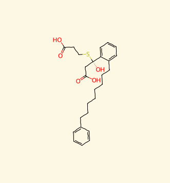 O=C(O)CCS[C@](O)(CC(=O)O)c1ccccc1CCCCCCCCc1ccccc1